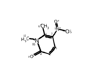 Cc1c([N+](=O)[O-])ccc(=O)n1C